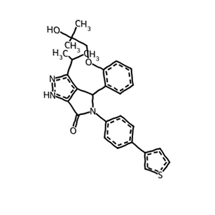 CC(C)c1n[nH]c2c1C(c1ccccc1OCC(C)(C)O)N(c1ccc(-c3ccsc3)cc1)C2=O